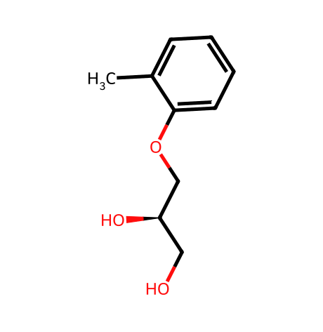 Cc1ccccc1OC[C@H](O)CO